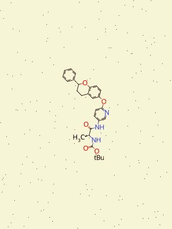 C[C@H](NC(=O)OC(C)(C)C)C(=O)Nc1ccc(Oc2ccc3c(c2)CCC(c2ccccc2)O3)nc1